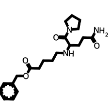 NC(=O)CCC(NCCCCC(=O)OCc1ccccc1)C(=O)N1CCCC1